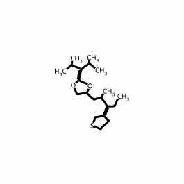 CCC(=C1CCSC1)C(C)CC1COC(=C(C(C)C)C(C)C)O1